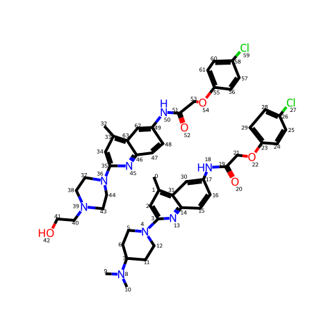 Cc1cc(N2CCC(N(C)C)CC2)nc2ccc(NC(=O)COc3ccc(Cl)cc3)cc12.Cc1cc(N2CCN(CCO)CC2)nc2ccc(NC(=O)COc3ccc(Cl)cc3)cc12